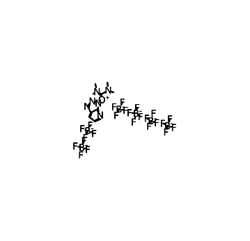 CN(C)C(=[O+]n1nnc2cccnc21)N(C)C.F[B-](F)(F)F.F[B-](F)(F)F.F[B-](F)(F)F.F[B-](F)(F)F.F[B-](F)(F)F.F[B-](F)(F)F